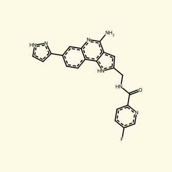 Nc1nc2cc(-c3cc[nH]n3)ccc2c2[nH]c(CNC(=O)c3ccc(F)cn3)cc12